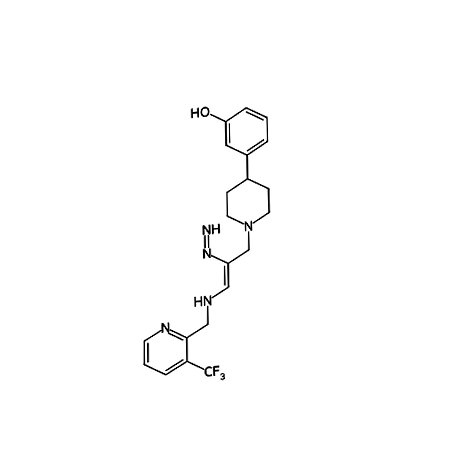 N=N/C(=C\NCc1ncccc1C(F)(F)F)CN1CCC(c2cccc(O)c2)CC1